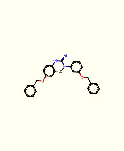 CN(C(=N)Nc1ccc(OCc2ccccc2)cc1)c1cccc(OCc2ccccc2)c1